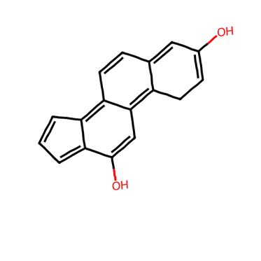 OC1=CCc2c(ccc3c4c(c(O)cc23)=CC=C4)=C1